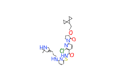 CC1(C)C[C@H](CCCNc2cccc(SNC(=O)c3ccc(N4CCC(OCCC5C6(CC6)C56CC6)C4=O)nc3Cl)n2)CN1